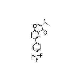 CC(C)c1coc2ccc(-c3ccc(C(F)(F)F)cc3)cc2c1=O